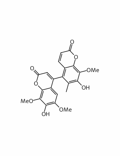 COc1cc2c(-c3c(C)c(O)c(OC)c4oc(=O)ccc34)cc(=O)oc2c(OC)c1O